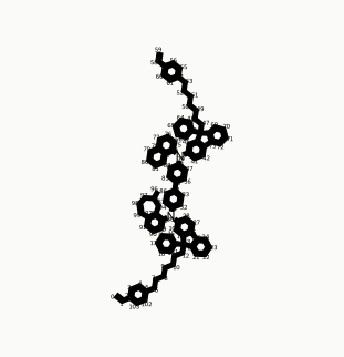 C=Cc1ccc(CCCCCCCC2(c3ccccc3)c3ccccc3-c3ccc(N(c4ccc(-c5ccc(N(c6ccc7c(c6)C(CCCCCCCc6ccc(C=C)cc6)(c6ccccc6)c6ccccc6-7)c6cccc7ccccc67)cc5)cc4)c4cccc5c4CC(C)CC=C5)cc32)cc1